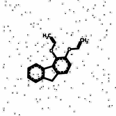 C=COc1ccc2c(c1OC=C)-c1ccccc1C2